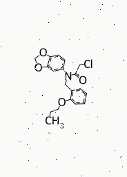 CCCOc1ccccc1CN(C(=O)CCl)c1ccc2c(c1)OCO2